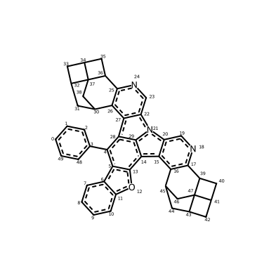 c1ccc(-c2c3c4ccccc4oc3c3c4c5c(ncc4n4c6cnc7c(c6c2c34)C2CC3CC4CC7C34C2)C2CC3CC4CC5CC432)cc1